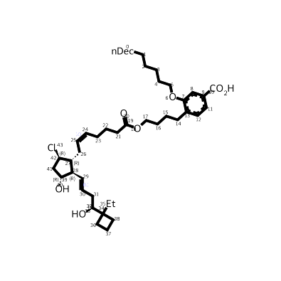 CCCCCCCCCCCCCCCOc1cc(C(=O)O)ccc1CCCCOC(=O)CCC/C=C\C[C@@H]1[C@@H](/C=C/C[C@H](O)C2(CC)CCC2)[C@H](O)C[C@H]1Cl